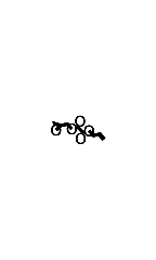 C=CCOC(=O)C(=O)OCC1CO1